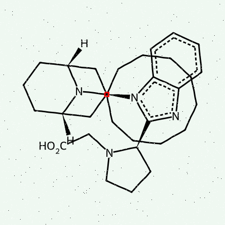 O=C(O)CN1CCC[C@@H]1c1nc2ccccc2n1[C@@H]1C[C@H]2CCC[C@@H](C1)N2C1CCCCCCCCC1